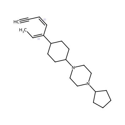 C#C/C=C\C(=C/C)C1CCC(N2CCN(C3CCCC3)CC2)CC1